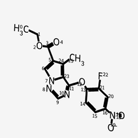 CCOC(=O)c1cn2ncnc(Oc3ccc([N+](=O)[O-])cc3F)c2c1C